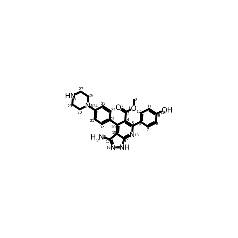 COC(=O)c1c(-c2ccc(O)cc2)nc2[nH]nc(N)c2c1-c1ccc(N2CCNCC2)cc1